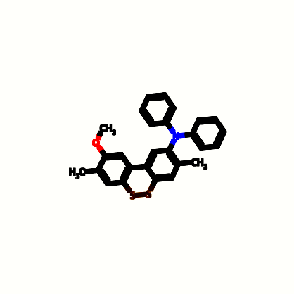 COc1cc2c(cc1C)SSc1cc(C)c(N(c3ccccc3)c3ccccc3)cc1-2